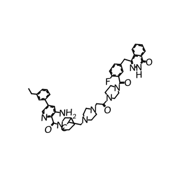 CCc1cccc(-c2cnc(C(=O)N3CC4CCC3CC4CN3CCN(CC(=O)N4CCN(C(=O)c5cc(Cc6n[nH]c(=O)c7ccccc67)ccc5F)CC4)CC3)c(N)c2)c1